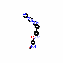 CC(=O)Nc1ccc(C(=O)Nc2ccc(-c3ccc4c(c3)=CN(N3CCN(c5ccncc5)CC3)CN=4)cc2)cc1